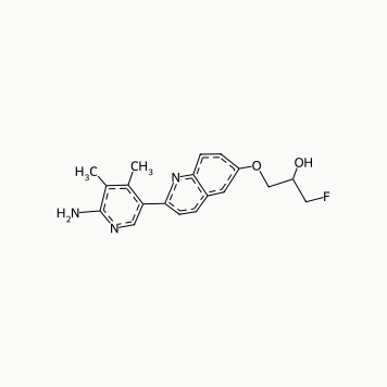 Cc1c(-c2ccc3cc(OCC(O)CF)ccc3n2)cnc(N)c1C